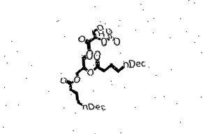 CCCCCCCCCCCCCC(=O)OCC(COC(=O)C(CO)OP(=O)=O)OC(=O)CCCCCCCCCCCCC